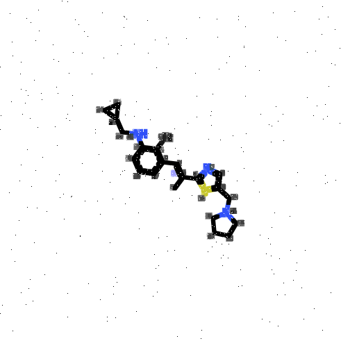 CCc1c(/C=C(\C)c2ncc(CN3CCCC3)s2)cccc1NCC1CC1